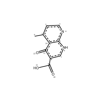 Cc1ccnc2[nH]cc(C(=O)O)c(=O)c12